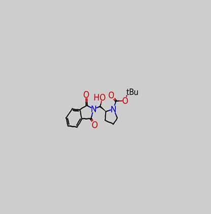 CC(C)(C)OC(=O)N1CCC[C@H]1C(O)N1C(=O)c2ccccc2C1=O